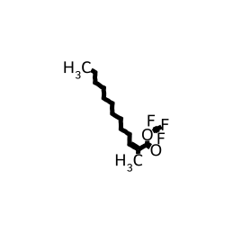 CCCCCCCCCCC=C(C)C(=O)OC(F)(F)F